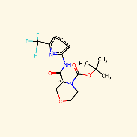 CC(C)(C)OC(=O)N1CCOC[C@H]1C(=O)Nc1cccc(C(F)(F)F)n1